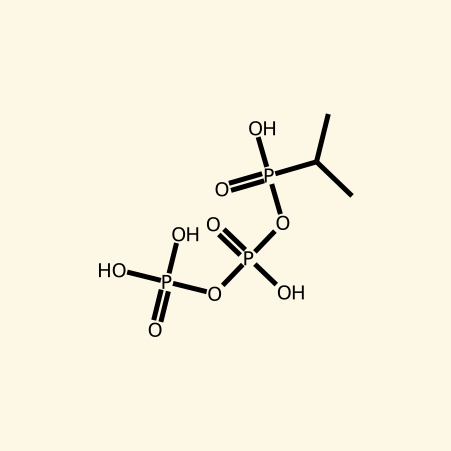 CC(C)P(=O)(O)OP(=O)(O)OP(=O)(O)O